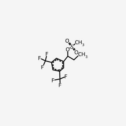 CCC(OS(C)(=O)=O)c1cc(C(F)(F)F)cc(C(F)(F)F)c1